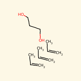 C=CC.C=CC.C=CC.OCCCO